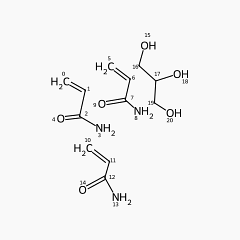 C=CC(N)=O.C=CC(N)=O.C=CC(N)=O.OCC(O)CO